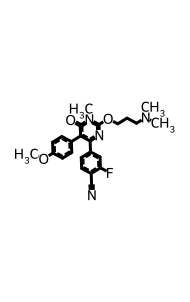 COc1ccc(-c2c(-c3ccc(C#N)c(F)c3)nc(OCCCN(C)C)n(C)c2=O)cc1